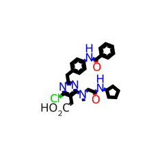 CN(CC(=O)NC1CCCC1)c1nc(Cc2ccc(NC(=O)c3ccccc3)cc2)nc(Cl)c1CC(=O)O